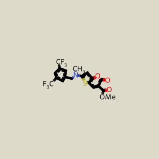 COC(=O)c1cc2sc(N(C)Cc3cc(C(F)(F)F)cc(C(F)(F)F)c3)cc2oc1=O